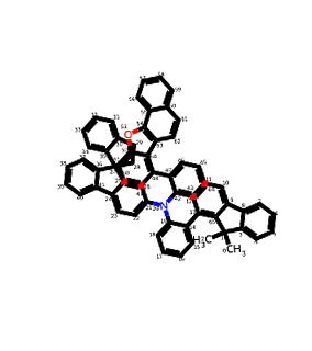 CC1(C)c2ccccc2-c2cccc(-c3ccccc3N(c3ccc4c(c3)C3(CCc5ccccc53)c3ccccc3-4)c3ccccc3-c3cccc4oc5c6ccccc6ccc5c34)c21